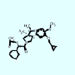 COc1ccc([C@@H]2CN(C(=O)[C@@H](OC(C)=O)C3CCCCC3)C[C@@]2(C)[C@@H](C)O)cc1OCC1CC1